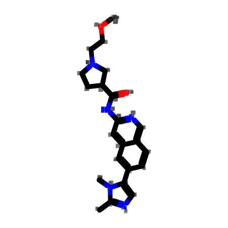 Cc1ncc(-c2ccc3cnc(NC(=O)C4CCN(CCOC(C)C)C4)cc3c2)n1C